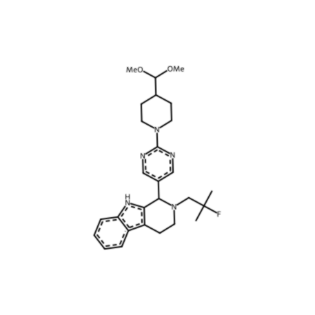 COC(OC)C1CCN(c2ncc(C3c4[nH]c5ccccc5c4CCN3CC(C)(C)F)cn2)CC1